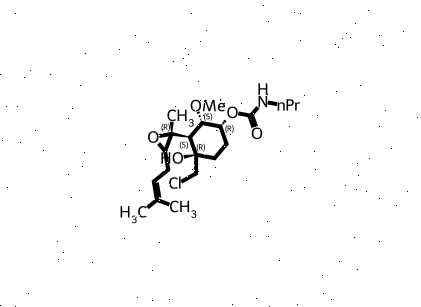 CCCNC(=O)O[C@@H]1CC[C@](O)(CCl)[C@@H]([C@@]2(C)OC2CC=C(C)C)[C@@H]1OC